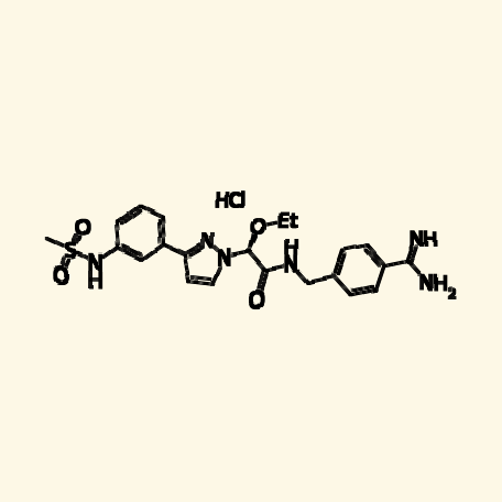 CCO[C@@H](C(=O)NCc1ccc(C(=N)N)cc1)n1ccc(-c2cccc(NS(C)(=O)=O)c2)n1.Cl